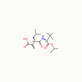 C=C(C(=O)O)[C@@H](CC(C)C)C(=O)N[C@H](C(=O)OC(C)C)C(C)(C)C